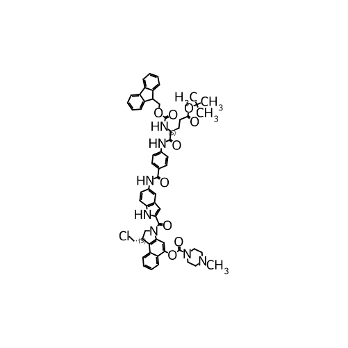 CN1CCN(C(=O)Oc2cc3c(c4ccccc24)[C@H](CCl)CN3C(=O)c2cc3cc(NC(=O)c4ccc(NC(=O)[C@H](CCC(=O)OC(C)(C)C)NC(=O)OCC5c6ccccc6-c6ccccc65)cc4)ccc3[nH]2)CC1